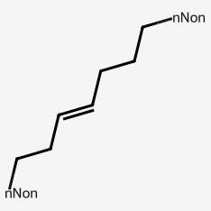 [CH2]CCCCCCCCCCC=CCCCCCCCCCCC[CH2]